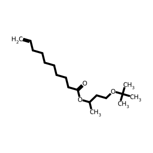 C=CCCCCCCCC(=O)OC(C)CCOC(C)(C)C